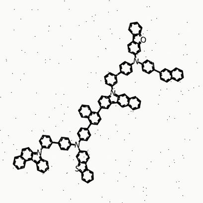 c1cc(-c2ccc(N(c3ccc(-c4ccc5ccccc5c4)cc3)c3ccc4c(c3)oc3ccccc34)cc2)cc(-n2c3ccc(-c4ccc(-c5ccc(N(c6ccc(-c7cccc(-n8c9ccccc9c9c%10ccccc%10ccc98)c7)cc6)c6ccc7c(c6)sc6ccccc67)cc5)c5ccccc45)cc3c3cc4ccccc4cc32)c1